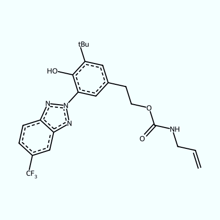 C=CCNC(=O)OCCc1cc(-n2nc3ccc(C(F)(F)F)cc3n2)c(O)c(C(C)(C)C)c1